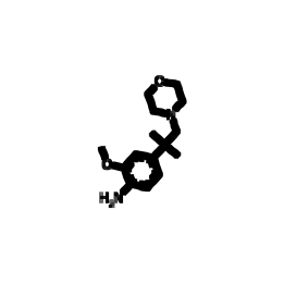 COc1cc(C(C)(C)CN2CCOCC2)ccc1N